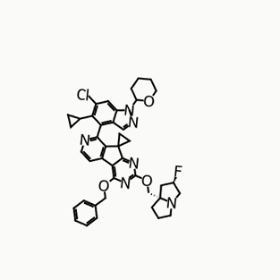 F[C@H]1CN2CCC[C@@]2(COc2nc(OCc3ccccc3)c3c(n2)C2(CC2)c2c-3ccnc2-c2c(C3CC3)c(Cl)cc3c2cnn3C2CCCCO2)C1